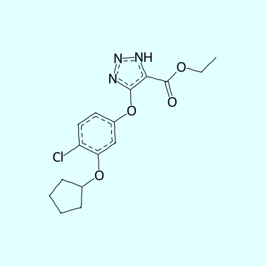 CCOC(=O)c1[nH]nnc1Oc1ccc(Cl)c(OC2CCCC2)c1